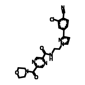 N#Cc1ccc(-c2ccn(CCNC(=O)c3cnc(C(=O)N4CCOCC4)cn3)n2)cc1Cl